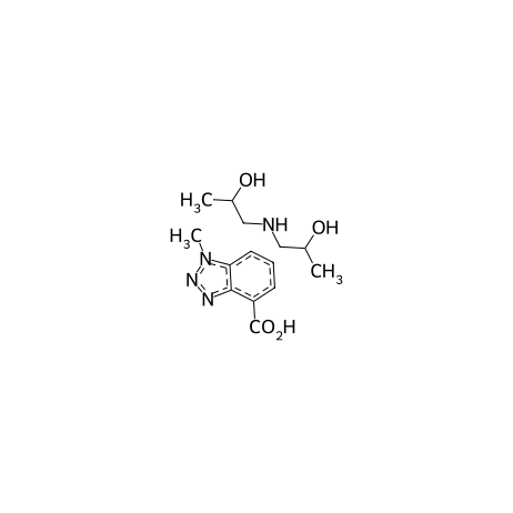 CC(O)CNCC(C)O.Cn1nnc2c(C(=O)O)cccc21